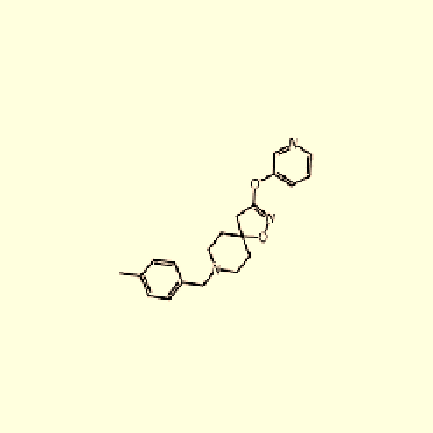 Cc1ccc(CN2CCC3(CC2)CC(Oc2cccnc2)=NO3)cc1